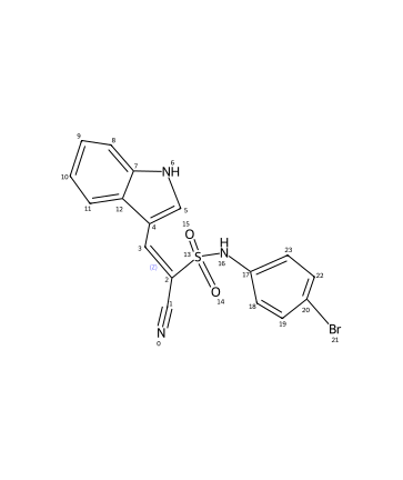 N#C/C(=C/c1c[nH]c2ccccc12)S(=O)(=O)Nc1ccc(Br)cc1